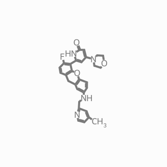 Cc1ccnc(CNc2ccc3c(c2)Cc2ccc(F)c(-c4cc(N5CCOCC5)cc(=O)[nH]4)c2O3)c1